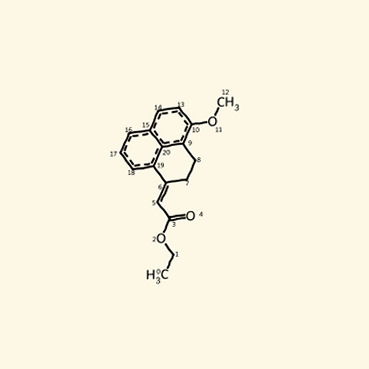 CCOC(=O)C=C1CCc2c(OC)ccc3cccc1c23